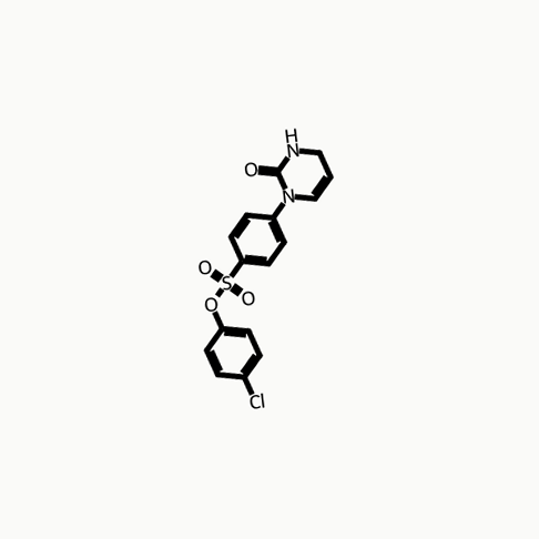 O=C1NCC=CN1c1ccc(S(=O)(=O)Oc2ccc(Cl)cc2)cc1